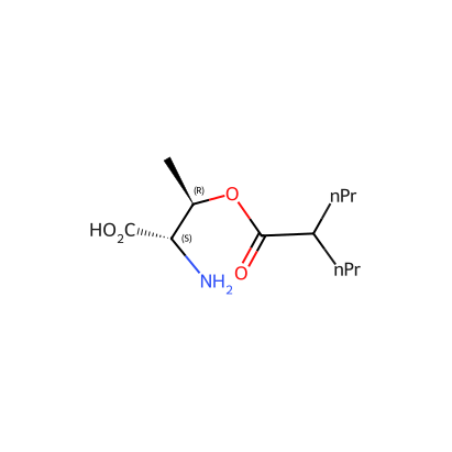 CCCC(CCC)C(=O)O[C@H](C)[C@H](N)C(=O)O